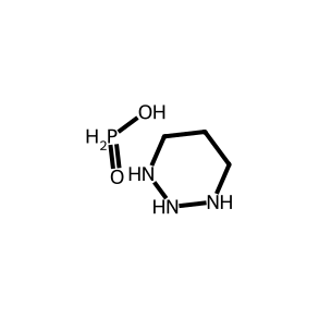 C1CNNNC1.O=[PH2]O